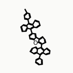 Cc1ccc(-c2c3ccccc3c(-c3ccc4oc5c(-c6c7ccccc7c(-c7ccccc7)c7ccccc67)cccc5c4c3)c3ccccc23)cc1